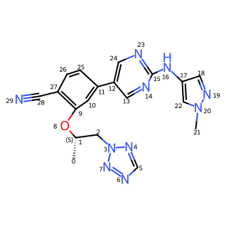 C[C@@H](Cn1ncnn1)Oc1cc(-c2cnc(Nc3cnn(C)c3)nc2)ccc1C#N